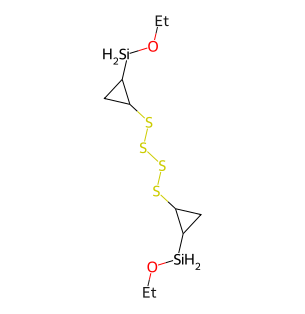 CCO[SiH2]C1CC1SSSSC1CC1[SiH2]OCC